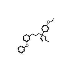 C=CC(CCC)(CCCc1cccc(Oc2ccccc2)c1)c1ccc(OCC)cc1